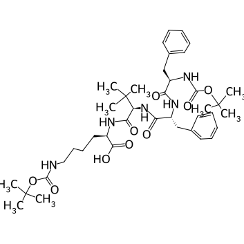 CC(C)(C)OC(=O)NCCCC[C@@H](NC(=O)[C@H](NC(=O)[C@@H](Cc1ccccc1)NC(=O)[C@@H](Cc1ccccc1)NC(=O)OC(C)(C)C)C(C)(C)C)C(=O)O